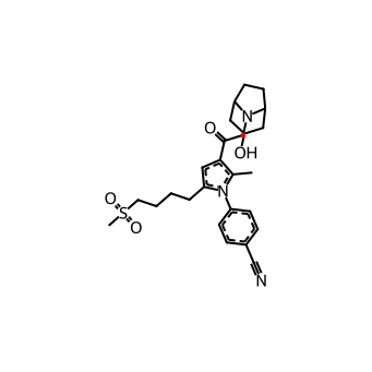 Cc1c(C(=O)CN2C3CCC2CC(O)C3)cc(CCCCS(C)(=O)=O)n1-c1ccc(C#N)cc1